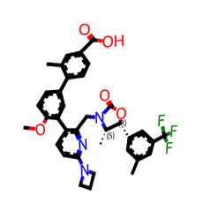 COc1ccc(-c2ccc(C(=O)O)cc2C)cc1-c1ccc(N2CCC2)nc1CN1C(=O)O[C@H](c2cc(C)cc(C(F)(F)F)c2)[C@@H]1C